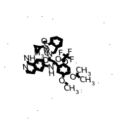 CCOc1cc(C(Nc2ccc3c(N)nccc3c2)(OC(=O)C(F)(F)F)C(=O)N(C)Cc2ccccc2S(=O)(=O)C2CC2)ccc1OC(C)C